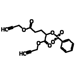 C#CCOC(=O)CCC(OS(=O)(=O)c1ccccc1)C(=O)OCC#C